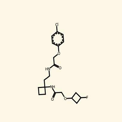 O=C(COc1ccc(Cl)cc1)NCCC1(NC(=O)COC2CC(F)C2)CCC1